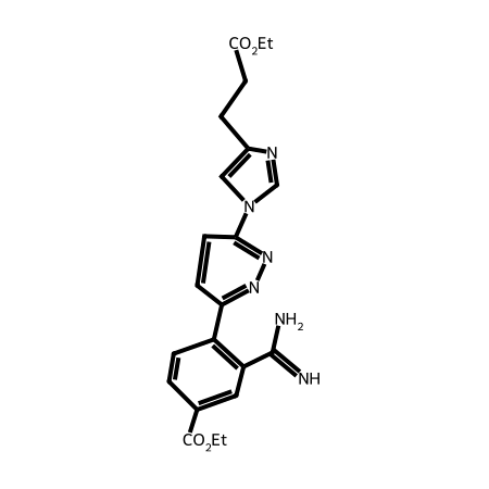 CCOC(=O)CCc1cn(-c2ccc(-c3ccc(C(=O)OCC)cc3C(=N)N)nn2)cn1